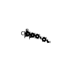 CCC[C@H]1CC[C@H](CC[C@H]2CC[C@H](c3ccc(-c4cc(F)c(Cl)c(F)c4)c(F)c3)CC2)CC1